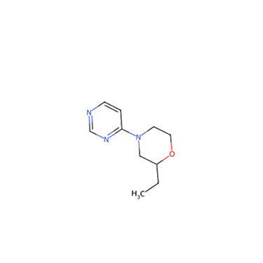 CCC1CN(c2ccncn2)CCO1